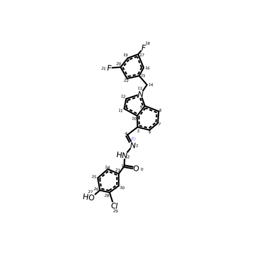 O=C(N/N=C/c1cccc2c1ccn2Cc1cc(F)cc(F)c1)c1ccc(O)c(Cl)c1